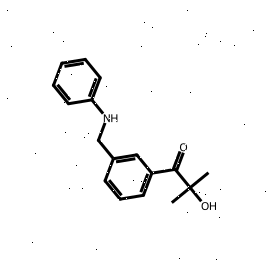 CC(C)(O)C(=O)c1cccc(CNc2ccccc2)c1